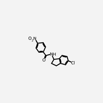 O=C(NC1CCc2cc(Cl)ccc21)c1ccc([N+](=O)[O-])cc1